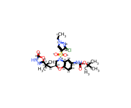 CCn1cc(S(=O)(=O)N2C[C@H](CC(C)(C)c3n[nH]c(=O)o3)Oc3ccc(NC(=O)OC(C)(C)C)cc32)c(Cl)n1